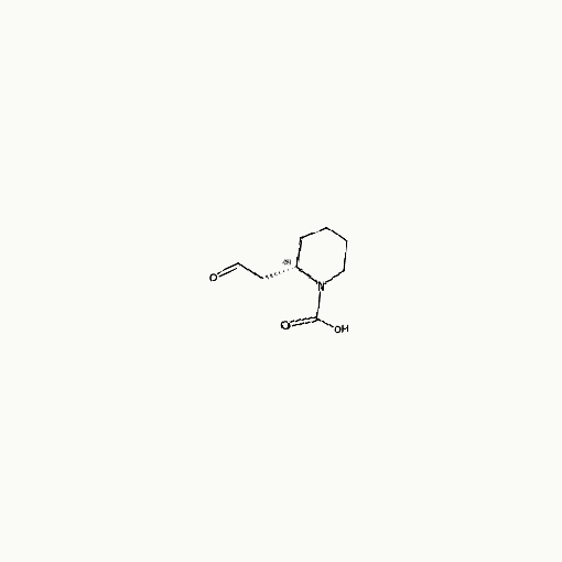 O=CC[C@@H]1CCCCN1C(=O)O